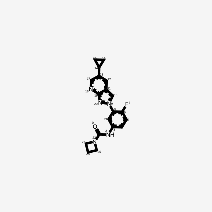 O=C(Nc1ccc(F)c(-n2cc3cc(C4CC4)cnc3n2)c1)N1CCC1